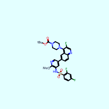 COc1ncc(-c2ccc3ncc(F)c(N4CCN(C(=O)OC(C)(C)C)CC4)c3c2)cc1NS(=O)(=O)c1ccc(F)cc1F